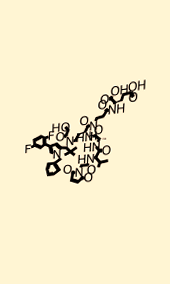 CC(C)C(NC(=O)CN1C(=O)C=CC1=O)C(=O)N[C@@H](C)C(=O)N[C@@H](CCN(C(=O)CO)[C@@H](c1cc(-c2cc(F)ccc2F)cn1Cc1ccccc1)C(C)(C)C)C(=O)NCCC(=O)N[C@H](CCC(=O)O)C(=O)O